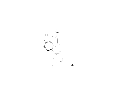 CC(C)[C@H](NC(=O)c1cccc2c1C=CS2(O)O)C(=O)OC(C)(C)C